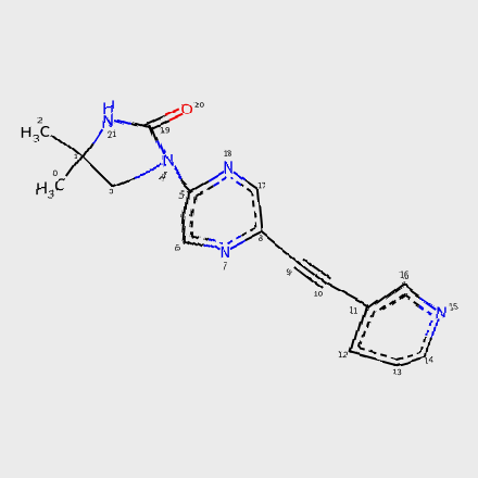 CC1(C)CN(c2cnc(C#Cc3cccnc3)cn2)C(=O)N1